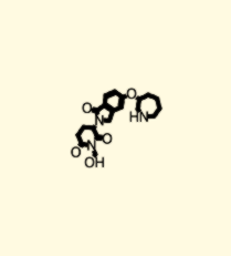 O=C1CCC(N2Cc3cc(OC4CCCCNC4)ccc3C2=O)C(=O)N1CO